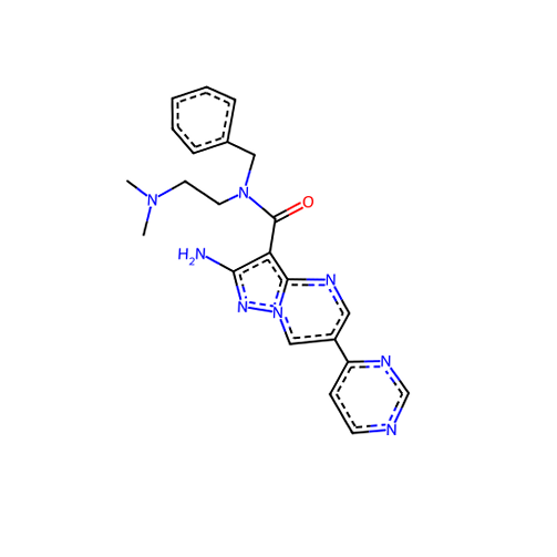 CN(C)CCN(Cc1ccccc1)C(=O)c1c(N)nn2cc(-c3ccncn3)cnc12